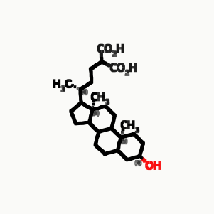 C[C@H](CCC(C(=O)O)C(=O)O)C1CCC2C3CCC4C[C@H](O)CC[C@]4(C)C3CC[C@@]21C